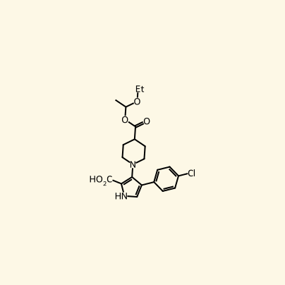 CCOC(C)OC(=O)C1CCN(c2c(-c3ccc(Cl)cc3)c[nH]c2C(=O)O)CC1